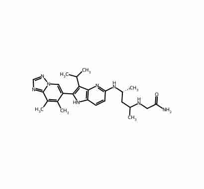 Cc1c(-c2[nH]c3ccc(N[C@H](C)CC(C)NCC(N)=O)nc3c2C(C)C)cn2ncnc2c1C